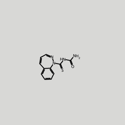 NC(=O)NC(=S)N1N=CC=Cc2ccccc21